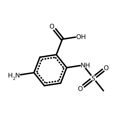 CS(=O)(=O)Nc1ccc(N)cc1C(=O)O